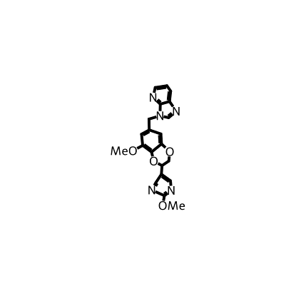 COc1ncc(C2COc3cc(Cn4cnc5cccnc54)cc(OC)c3O2)cn1